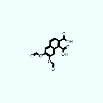 O=COc1cc2ccc(C(=O)O)c(C(=O)O)c2cc1OC=O